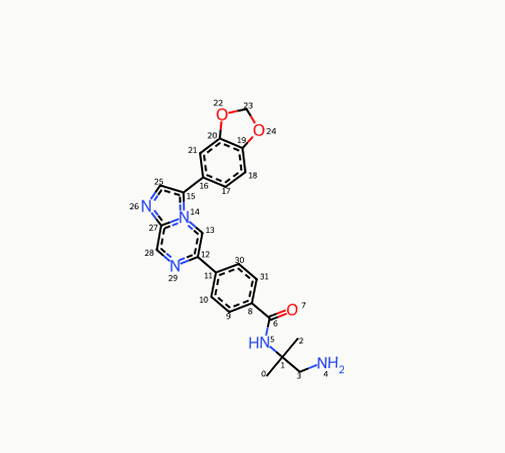 CC(C)(CN)NC(=O)c1ccc(-c2cn3c(-c4ccc5c(c4)OCO5)cnc3cn2)cc1